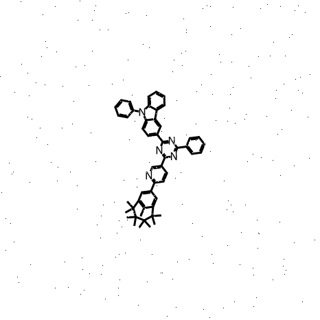 Cc1c2cc(-c3ccc(-c4nc(-c5ccccc5)nc(-c5ccc6c(c5)c5ccccc5n6-c5ccccc5)n4)cn3)cc1C(C)(C)C(C)(C)C(C)(C)C2(C)C